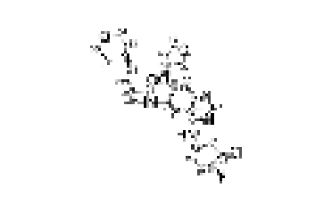 O=C(Nc1cc2c(Nc3ccc(F)c(Cl)c3)ncnc2cc1O[C@H]1CCOC1)/C(F)=C\CN1CCOCC1